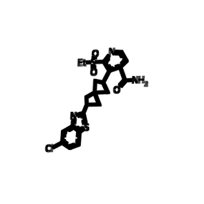 CCS(=O)(=O)c1nccc(C(N)=O)c1C1CC2(CC(c3nc4cc(Cl)ccc4s3)C2)C1